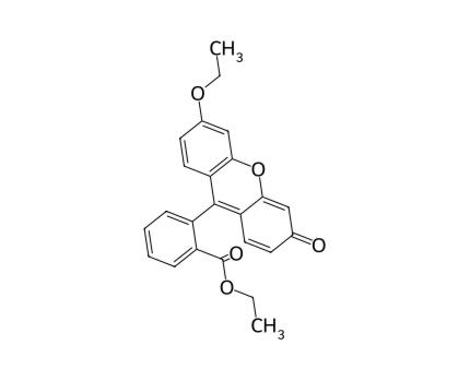 CCOC(=O)c1ccccc1-c1c2ccc(=O)cc-2oc2cc(OCC)ccc12